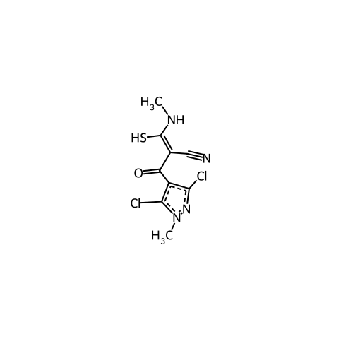 CNC(S)=C(C#N)C(=O)c1c(Cl)nn(C)c1Cl